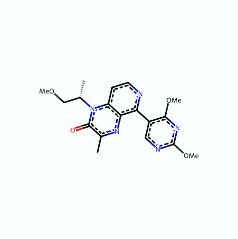 COC[C@H](C)n1c(=O)c(C)nc2c(-c3cnc(OC)nc3OC)nccc21